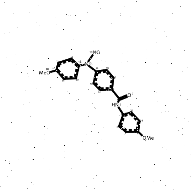 COc1ccc(NC(=O)c2ccc(N(N=O)c3ccc(OC)cc3)cc2)cc1